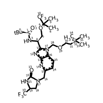 CC(C)(C)[S@@+]([O-])N[C@@H](COC(C)(C)C(F)(F)F)c1nc2nc(CN3CC(C(F)(F)F)NC3=O)ccc2n1COCC[Si](C)(C)C